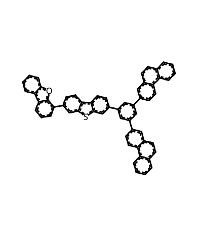 c1ccc2c(c1)ccc1cc(-c3cc(-c4ccc5c(ccc6ccccc65)c4)cc(-c4ccc5c(c4)sc4cc(-c6cccc7c6oc6ccccc67)ccc45)c3)ccc12